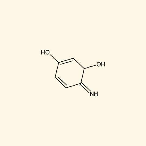 N=C1C=CC(O)=CC1O